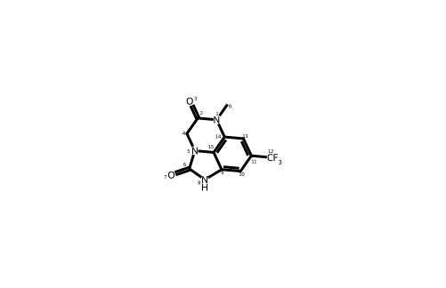 CN1C(=O)Cn2c(=O)[nH]c3cc(C(F)(F)F)cc1c32